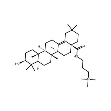 CC1(C)CC[C@]2(C(=O)NCCC[N+](C)(C)C)CC[C@]3(C)C(=C2C1)CC[C@@H]1[C@@]2(C)CC[C@H](O)C(C)(C)[C@@H]2CC[C@]13C